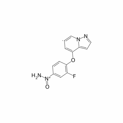 N[N+](=O)c1ccc(Oc2c[c]cn3nccc23)c(F)c1